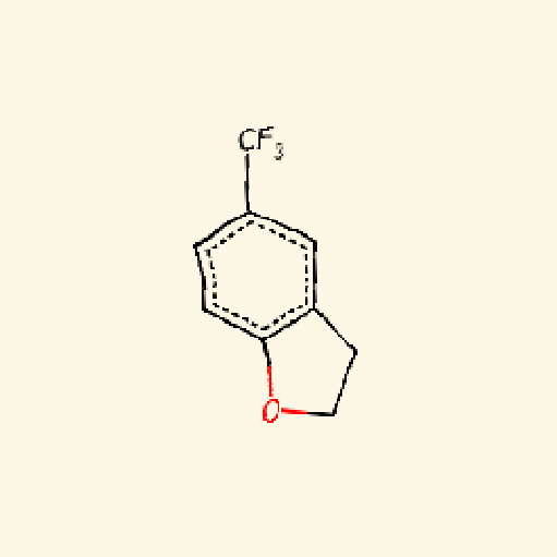 FC(F)(F)c1ccc2c(c1)CCO2